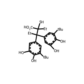 CCC(S)(C(=O)O)C(CC)(c1cc(O)c(O)c(C(C)(C)C)c1)c1cc(O)c(O)c(C(C)(C)C)c1